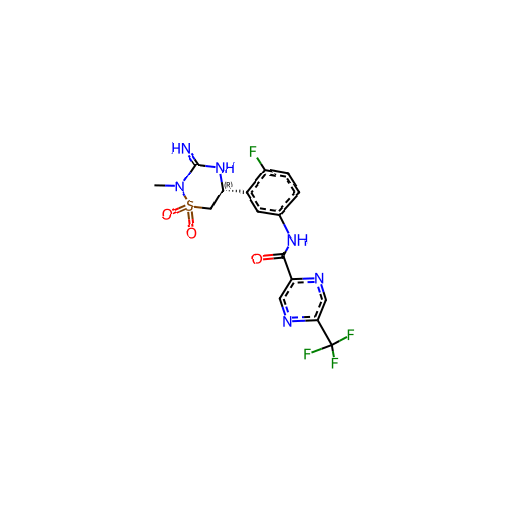 CN1C(=N)N[C@H](c2cc(NC(=O)c3cnc(C(F)(F)F)cn3)ccc2F)CS1(=O)=O